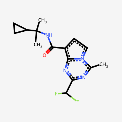 Cc1nc(C(F)F)nc2c(C(=O)NC(C)(C)C3CC3)ccn12